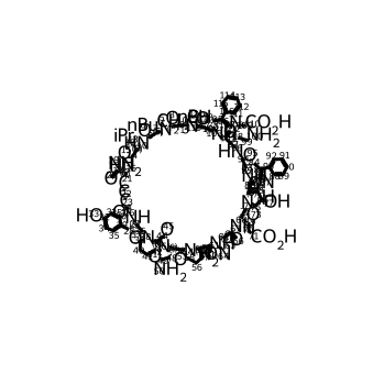 CCCC[C@H]1C(=O)N(C)[C@@H](CCCC)C(=O)N[C@@H](CC(C)C)C(=O)N[C@H](C(N)=O)CCCC(=O)N[C@@H](Cc2ccc(O)cc2)C(=O)N2CCCC[C@@]23C(=O)N3[C@@H](CC(N)=O)C(=O)N2CCC[C@H]2C(=O)N[C@@H](CN)C(=O)N[C@@H](CCC(=O)O)C(=O)N2C[C@H](O)C[C@H]2C(=O)N[C@@H](Cc2c[nH]c3ccccc23)C(=O)N[C@@H](CCN)C(=O)N[C@@H](Cc2cn(CC(=O)O)c3ccccc23)C(=O)N1C